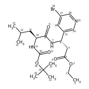 CCOC(=O)C[C@H](NC(=O)[C@H](CC(C)C)NC(=O)OC(C)(C)C)c1cncc(Br)c1